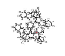 Cc1ccc2c(c1)c1cc(C)ccc1n2-c1c(-n2c3ccccc3c3ccccc32)nc(-n2c3ccccc3c3ccccc32)c(-n2c3ccc(C)cc3c3cc(C)ccc32)c1-c1cc(-c2ccccc2)nc(-c2ccccc2)c1